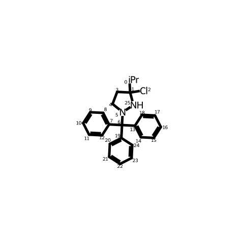 CC(C)C1(Cl)CCN(C(c2ccccc2)(c2ccccc2)c2ccccc2)N1